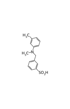 Cc1cccc(N(C)Cc2cccc(S(=O)(=O)O)c2)c1